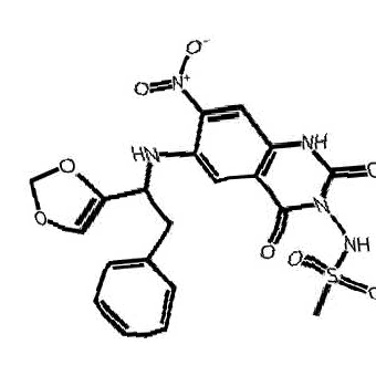 CS(=O)(=O)Nn1c(=O)[nH]c2cc([N+](=O)[O-])c(NC(Cc3ccccc3)C3=COCO3)cc2c1=O